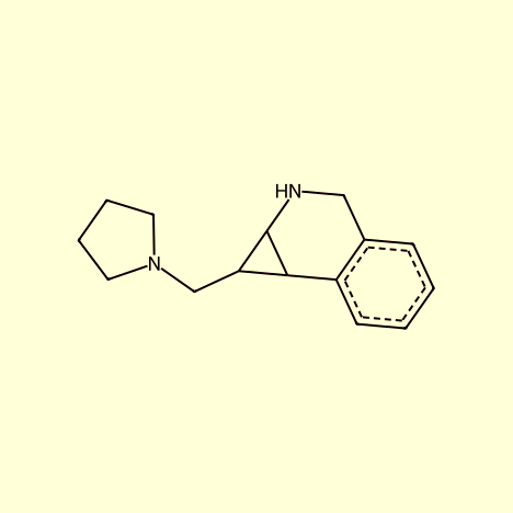 c1ccc2c(c1)CNC1C(CN3CCCC3)C21